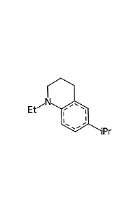 CCN1CCCc2cc(C(C)C)ccc21